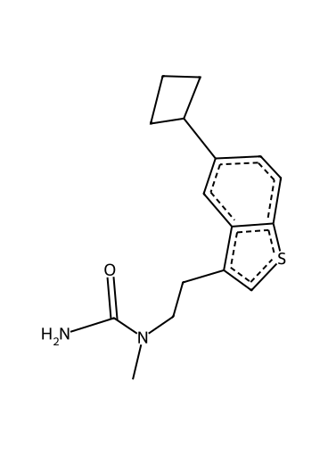 CN(CCc1csc2ccc(C3CCC3)cc12)C(N)=O